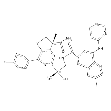 Cc1cnc2c(Nc3ccncn3)cc(C(=O)NC[C@](O)(c3cc4c(c(-c5ccc(F)cc5)n3)OC[C@]4(C)C(N)=O)C(F)(F)F)cc2c1